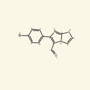 O=Cc1c(-c2ccc(Br)cc2)nc2sccn12